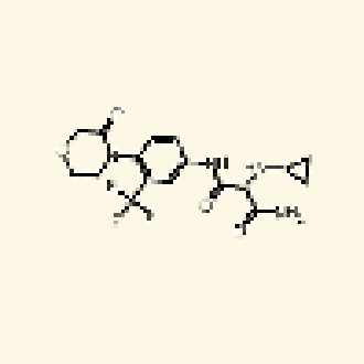 NC(=O)[C@H](NC1CC1)C(=O)Nc1ccc(N2CCOCC2=O)c(C(F)(F)F)c1